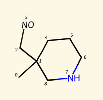 CC1(CN=O)CCCNC1